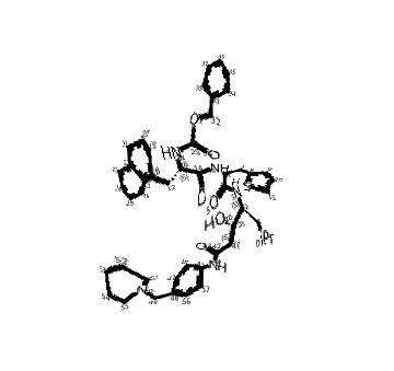 CC(C)C[C@H](NC(=O)C(Cc1cccs1)NC(=O)[C@H](Cc1cccc2ccccc12)NC(=O)OCc1ccccc1)[C@@H](O)CC(=O)Nc1ccc(CN2CCCCC2)cc1